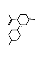 C=C(C)[C@@H]1CC[C@@H](C)C[C@H]1C1COC(C)OC1